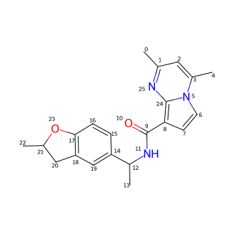 Cc1cc(C)n2ccc(C(=O)NC(C)c3ccc4c(c3)CC(C)O4)c2n1